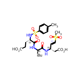 CCC(C)[C@@H](NC(=O)[C@H](CCC(=O)O)NS(=O)(=O)c1ccc(C)cc1)C(=O)N[C@H](/C=C/S(C)(=O)=O)CC(=O)O